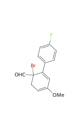 COC1=CCC(Br)(C=O)C(c2ccc(F)cc2)=C1